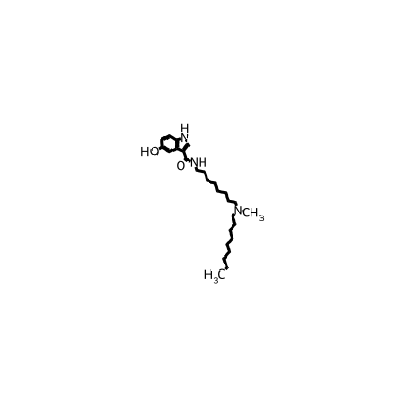 CCCCCCCCCN(C)CCCCCCCCNC(=O)c1c[nH]c2ccc(O)cc12